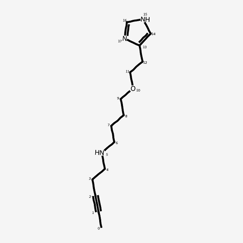 CC#CCCNCCCCOCCc1c[nH]cn1